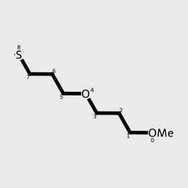 COCCCOCCC[S]